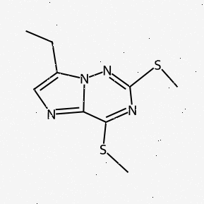 CCc1cnc2c(SC)nc(SC)nn12